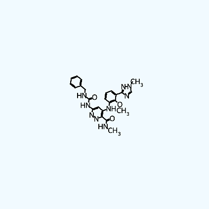 CNC(=O)c1nnc(NC(=O)NCc2ccccc2)cc1Nc1cccc(-c2ncn(C)n2)c1OC